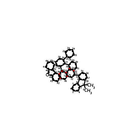 CC1(C)c2ccccc2-c2c(-c3ccc(N(c4cccc(-c5ccccc5)c4-c4ccccc4-c4ccccc4)c4cccc5oc6ccccc6c45)cc3)cccc21